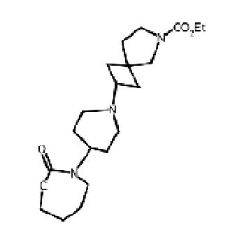 CCOC(=O)N1CCC2(CC(N3CCC(N4CCCCCC4=O)CC3)C2)C1